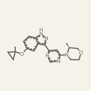 C[C@H]1COCCN1c1cc(-c2n[nH]c3ccc(OC4(C)CC4)cc23)ncn1